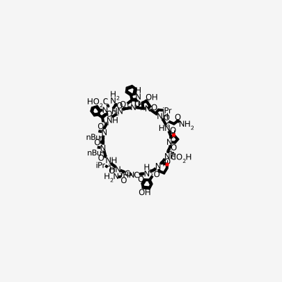 CCCC[C@H]1C(=O)N(C)[C@@H](CCCC)C(=O)N[C@@H](CC(C)C)C(=O)N[C@H](C(N)=O)CNCC(=O)N[C@@H](Cc2ccc(O)cc2)C(=O)N2CCCC[C@H]2C(=O)N[C@@H](CC(=O)O)C(=O)N2CCC[C@H]2C(=O)N[C@@H](CCC(N)=O)C(=O)NC(CC(C)C)C(=O)N2C[C@H](O)C[C@H]2C(=O)N[C@@H](Cc2c[nH]c3ccccc23)C(=O)N[C@@H](CC(N)=O)C(=O)N[C@@H](Cc2cn(CC(=O)O)c3ccccc23)C(=O)N1C